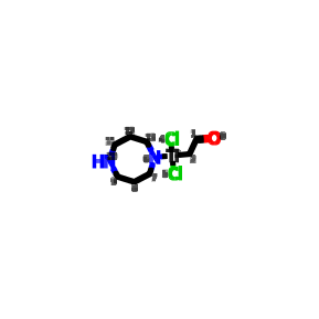 O=C[CH2][Ti]([Cl])([Cl])[N]1CCCNCCC1